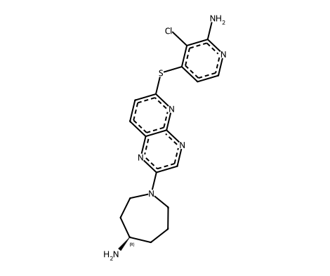 Nc1nccc(Sc2ccc3nc(N4CCC[C@@H](N)CC4)cnc3n2)c1Cl